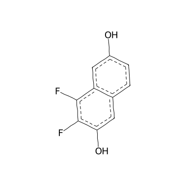 Oc1ccc2cc(O)c(F)c(F)c2c1